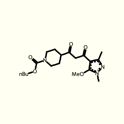 CCCCOC(=O)N1CCC(C(=O)CC(=O)c2c(C)nn(C)c2OC)CC1